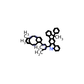 C=C/C=C(\C=C(/C)C1=C2/C=C\C3=CC=C(C)/C(=C/C=C(/C=C1)C2)C3C)c1nc2ccccc2c2cc3c(cc12)-c1ccccc1C3(C)c1ccccc1